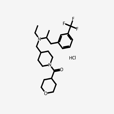 CCN(CC1CCN(C(=O)C2CCOCC2)CC1)C(C)Cc1cccc(C(F)(F)F)c1.Cl